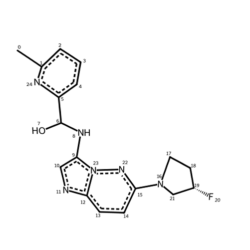 Cc1cccc(C(O)Nc2cnc3ccc(N4CC[C@H](F)C4)nn23)n1